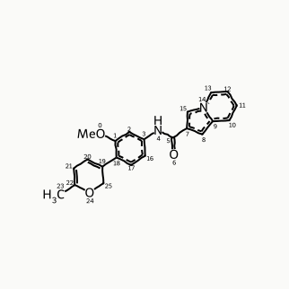 COc1cc(NC(=O)c2cc3ccccn3c2)ccc1C1=CC=C(C)OC1